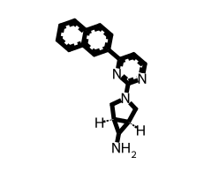 NC1[C@H]2CN(c3nccc(-c4ccc5ccccc5c4)n3)C[C@@H]12